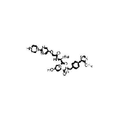 Cc1ncsc1-c1ccc(CNC(=O)[C@@H]2C[C@@H](O)CN2C(=O)[C@@H](NC(=O)COc2cnc(N3CCNCC3)nc2)C(C)(C)C)cc1